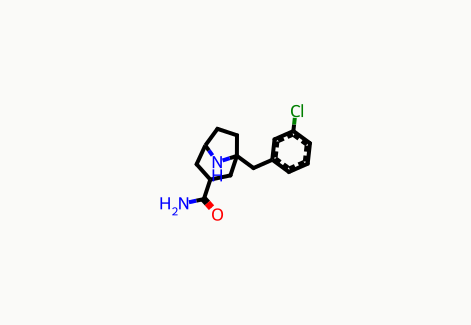 NC(=O)C1CC2CCC(Cc3cccc(Cl)c3)(C1)N2